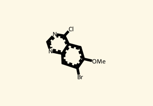 COc1cc2c(Cl)ncnc2cc1Br